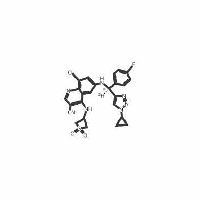 [2H][C@](Nc1cc(Cl)c2ncc(C#N)c(NC3CS(=O)(=O)C3)c2c1)(c1ccc(F)cc1)c1cn(C2CC2)nn1